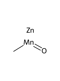 [CH3][Mn]=[O].[Zn]